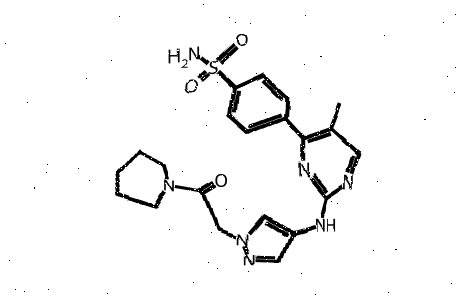 Cc1cnc(Nc2cnn(CC(=O)N3CCCCC3)c2)nc1-c1ccc(S(N)(=O)=O)cc1